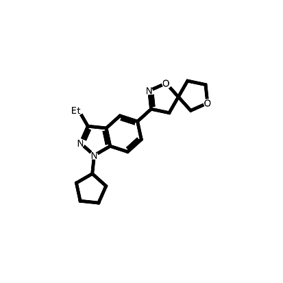 CCc1nn(C2CCCC2)c2ccc(C3=NOC4(CCOC4)C3)cc12